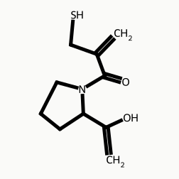 C=C(CS)C(=O)N1CCCC1C(=C)O